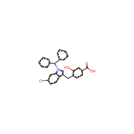 O=C(O)c1ccc(Cc2cn(C(c3ccccc3)c3ccccc3)c3cc(Cl)ccc23)c(O)c1